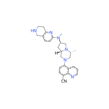 C[C@@H]1CN(c2ccc(C#N)c3ncccc23)C[C@@H]2C[C@@H](N(C)c3ccc4c(n3)CCNC4)CN21